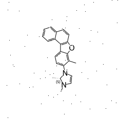 Cc1c(N2C=CN(C)[C@@H]2C)ccc2c1oc1ccc3ccccc3c12